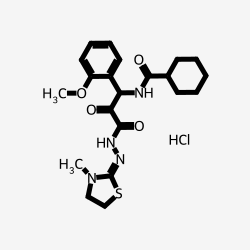 COc1ccccc1C(NC(=O)C1CCCCC1)C(=O)C(=O)NN=C1SCCN1C.Cl